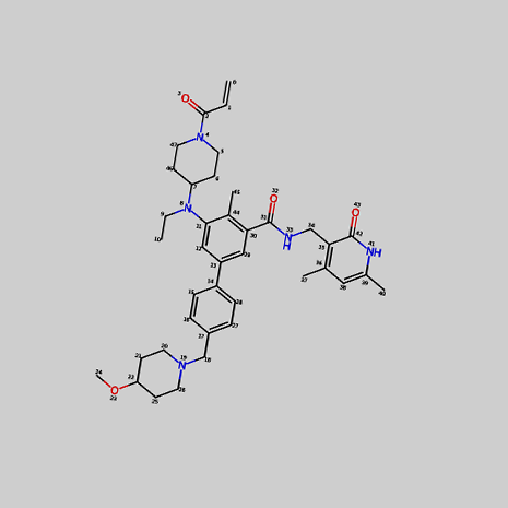 C=CC(=O)N1CCC(N(CC)c2cc(-c3ccc(CN4CCC(OC)CC4)cc3)cc(C(=O)NCc3c(C)cc(C)[nH]c3=O)c2C)CC1